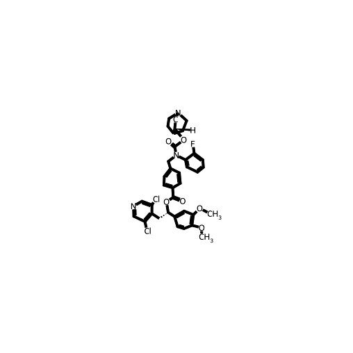 COc1ccc([C@H](Cc2c(Cl)cncc2Cl)OC(=O)c2ccc(CN(C(=O)O[C@H]3CN4CCC3CC4)c3ccccc3F)cc2)cc1OC